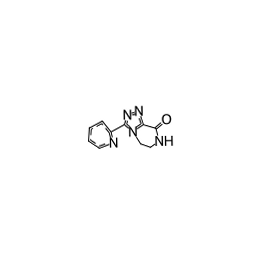 O=C1NCCn2c1nnc2-c1ccccn1